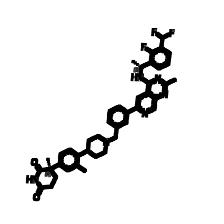 Cc1nc(N[C@H](C)c2cccc(C(F)F)c2F)c2cc(-c3cccc(CN4CCC(c5ccc([C@@]6(C)CCC(=O)NC6=O)cc5C)CC4)c3)ncc2n1